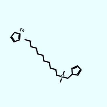 C1=CCC=C1.CCCCCCCCCCC[N+](C)(C)CC1C=CC=C1.[Fe]